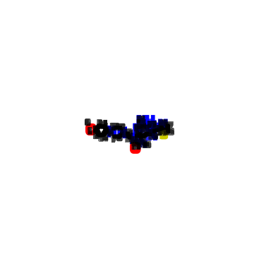 COc1ccc(N2CCN(CCn3c(=O)n(C)c4c3nc(N)n3nc(-c5nccs5)nc43)CC2)cc1